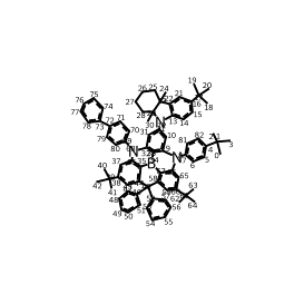 CC(C)(C)c1ccc(N2c3cc(N4c5ccc(C(C)(C)C)cc5C5(C)CCCCC45C)cc4c3B3c5c(cc(C(C)(C)C)cc5C(c5ccccc5)(c5ccccc5)c5cc(C(C)(C)C)cc2c53)N4c2ccc(-c3ccccc3)cc2)cc1